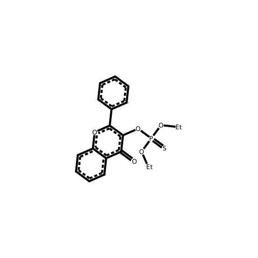 CCOP(=S)(OCC)Oc1c(-c2[c]cccc2)oc2ccccc2c1=O